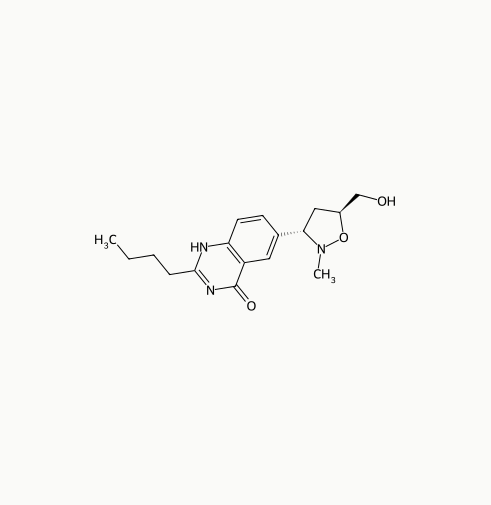 CCCCc1nc(=O)c2cc([C@@H]3C[C@@H](CO)ON3C)ccc2[nH]1